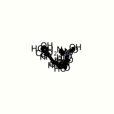 CC(C)(O/N=C(\C(=O)NC1C(=O)N2C[C@@](C(=O)O)(N3CCN(NC(=O)C(=O)NCCNC(=O)C(=O)c4ccc(O)c(O)c4Cl)C3=O)S[C@H]12)c1csc(N)n1)C(=O)O